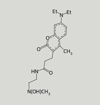 CCN(CC)c1ccc2c(C)c(CCC(=O)NCCN(C)O)c(=O)oc2c1